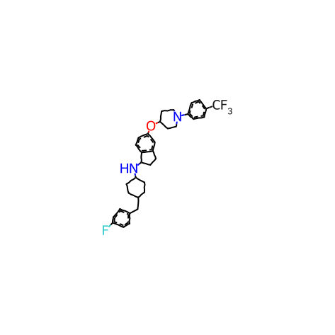 Fc1ccc(CC2CCC(NC3CCc4cc(OC5CCN(c6ccc(C(F)(F)F)cc6)CC5)ccc43)CC2)cc1